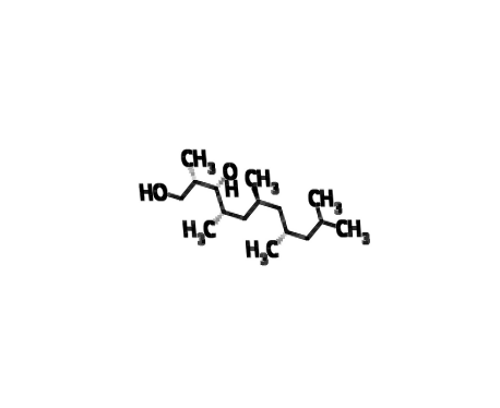 CC(C)C[C@H](C)C[C@H](C)C[C@H](C)[C@@H](O)[C@@H](C)CO